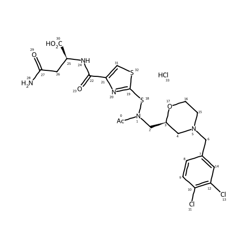 CC(=O)N(C[C@@H]1CN(Cc2ccc(Cl)c(Cl)c2)CCO1)Sc1nc(C(=O)N[C@@H](CC(N)=O)C(=O)O)cs1.Cl